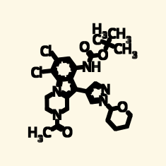 CC(=O)N1CCn2c(c(-c3cnn(C4CCCCO4)c3)c3c(NC(=O)OC(C)(C)C)cc(Cl)c(Cl)c32)C1